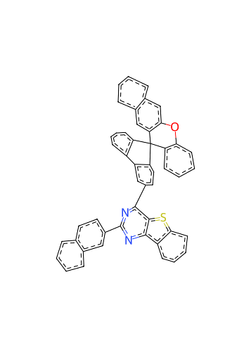 c1ccc2c(c1)Oc1cc3ccccc3cc1C21c2ccccc2-c2cc(-c3nc(-c4ccc5ccccc5c4)nc4c3sc3ccccc34)ccc21